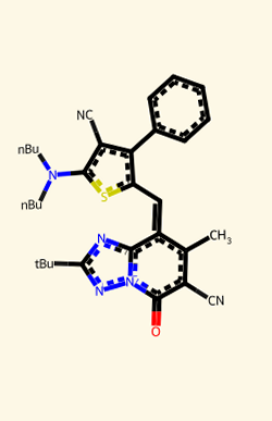 CCCCN(CCCC)c1sc(/C=c2/c(C)c(C#N)c(=O)n3nc(C(C)(C)C)nc23)c(-c2ccccc2)c1C#N